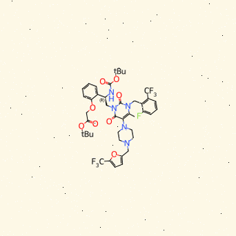 Cc1c(N2CCN(Cc3ccc(C(F)(F)F)o3)CC2)c(=O)n(C[C@H](NC(=O)OC(C)(C)C)c2ccccc2OCC(=O)OC(C)(C)C)c(=O)n1Cc1c(F)cccc1C(F)(F)F